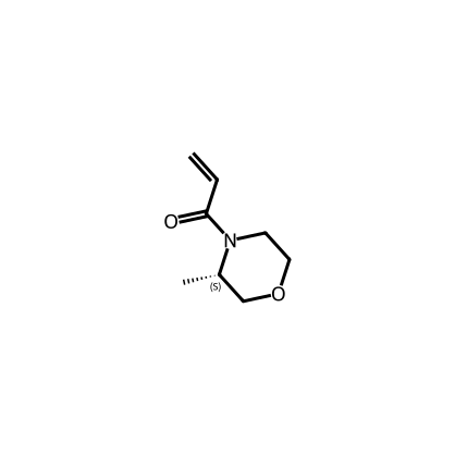 C=CC(=O)N1CCOC[C@@H]1C